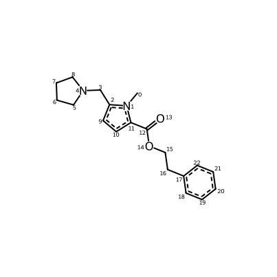 Cn1c(CN2CCCC2)ccc1C(=O)OCCc1ccccc1